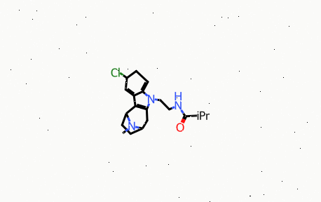 CC(C)C(=O)NCCn1c2c(c3c1=CCC(Cl)C=3)C1CCC(C2)N1C